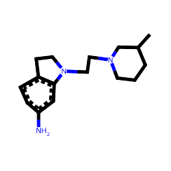 CC1CCCN(CCN2CCc3ccc(N)cc32)C1